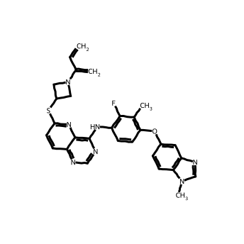 C=CC(=C)N1CC(Sc2ccc3ncnc(Nc4ccc(Oc5ccc6c(c5)ncn6C)c(C)c4F)c3n2)C1